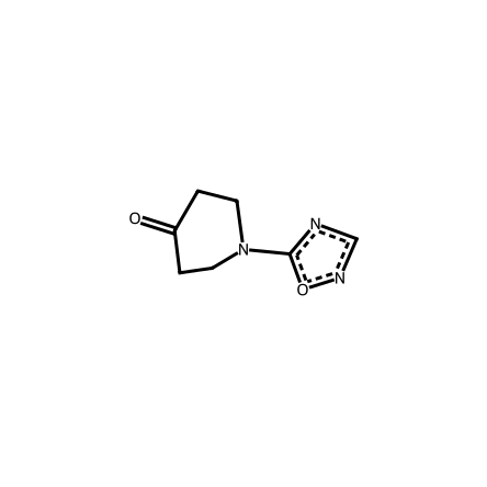 O=C1CCN(c2ncno2)CC1